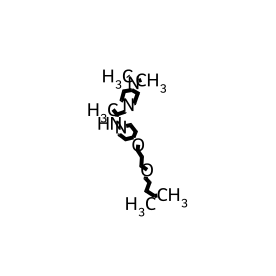 CC(C)CCCOCCCOC1CCN(NC(C)CN2CCC(N(C)C)CC2)CC1